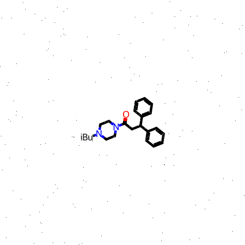 CCC(C)N1CCN(C(=O)CC(c2ccccc2)c2ccccc2)CC1